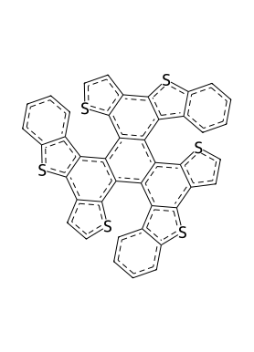 c1ccc2c(c1)sc1c3ccsc3c3c(c21)c1c2sccc2c2sc4ccccc4c2c1c1c2sccc2c2sc4ccccc4c2c31